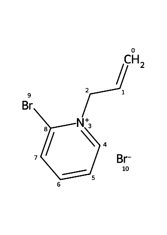 C=CC[n+]1ccccc1Br.[Br-]